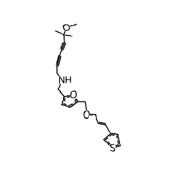 COC(C)(C)C#CC#CCNCc1ccc(COCC=Cc2ccsc2)o1